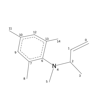 C=CC(C)N(C)c1c(C)cc(C)cc1C